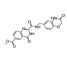 COC(=O)c1ccc2nc(C(=O)NCc3ccc4c(c3)NC(=O)CO4)[nH]c(=O)c2c1